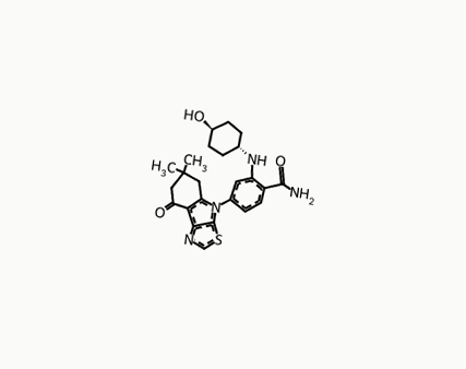 CC1(C)CC(=O)c2c(n(-c3ccc(C(N)=O)c(N[C@H]4CC[C@H](O)CC4)c3)c3scnc23)C1